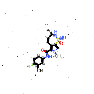 CC(C)C1C=Cc2c(cn(C)c2C(=O)Nc2ccc(F)c(C#N)c2)S(=N)(=O)N1